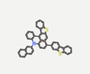 c1ccc(N(c2ccc(-c3ccc4c(c3)sc3ccccc34)cc2)c2ccc3ccccc3c2)c(-c2cccc3sc4ccccc4c23)c1